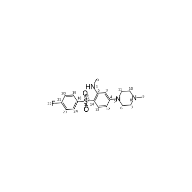 CNc1cc(N2CCN(C)CC2)ccc1S(=O)(=O)c1ccc(F)cc1